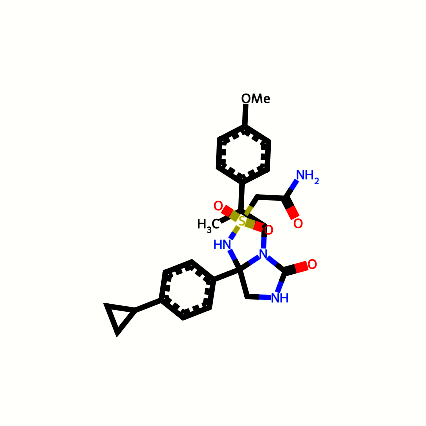 COc1ccc(C(C)CN2C(=O)NCC2(NS(=O)(=O)CC(N)=O)c2ccc(C3CC3)cc2)cc1